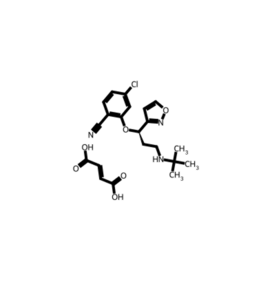 CC(C)(C)NCC[C@@H](Oc1cc(Cl)ccc1C#N)c1ccon1.O=C(O)/C=C/C(=O)O